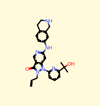 C=CCn1c(=O)c2cnc(Nc3ccc4c(c3)CNCC4)cc2n1-c1cccc(C(C)(C)O)n1